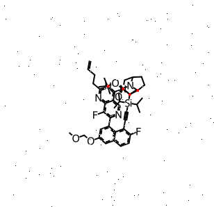 C=CCCc1nc(N2CC3CCC(C2)N3C(=O)OC(C)(C)C)c2cnc(-c3cc(OCOC)cc4ccc(F)c(C#C[Si](C(C)C)(C(C)C)C(C)C)c34)c(F)c2n1